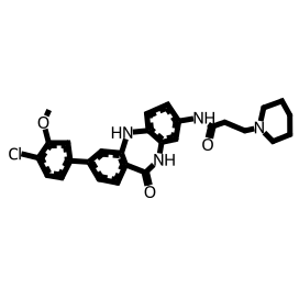 COc1cc(-c2ccc3c(c2)Nc2ccc(NC(=O)CCN4CCCCC4)cc2NC3=O)ccc1Cl